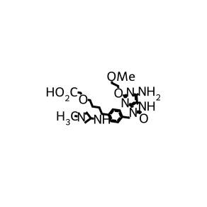 COCCOc1nc(N)c2[nH]c(=O)n(Cc3ccc(C(CCCOCC(=O)O)NC4CN(C)C4)cc3)c2n1